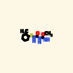 COC(=N)NC(=O)NSC1CCCCC1C